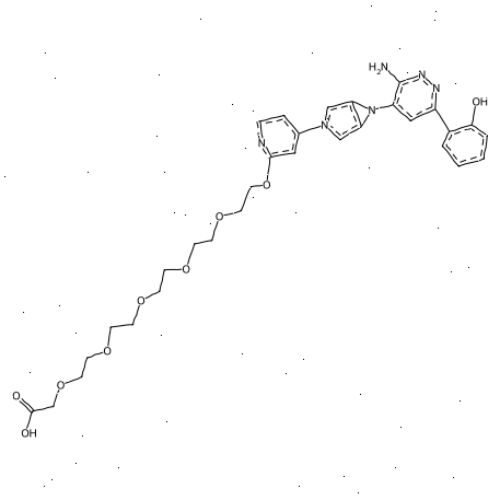 Nc1nnc(-c2ccccc2O)cc1N1c2cn(-c3ccnc(OCCOCCOCCOCCOCCOCC(=O)O)c3)cc21